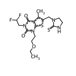 CCOCCn1c(=O)n(CC(F)F)c(=O)c2c(C)c(CN3CCNC3=S)sc21